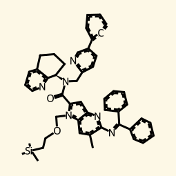 Cc1cc2c(cc(C(=O)N(Cc3ccc(-c4ccccc4)cn3)[C@@H]3CCCc4cccnc43)n2COCC[Si](C)(C)C)nc1N=C(c1ccccc1)c1ccccc1